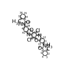 Cc1ccccc1C(=O)Nc1ccc2c(c1)Oc1c(Cl)c3c(c(Cl)c1=N2)Oc1cc(NC(=O)c2ccccc2C)ccc1N=3